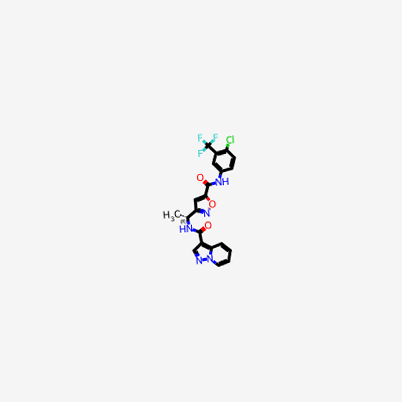 C[C@@H](NC(=O)c1cnn2ccccc12)c1cc(C(=O)Nc2ccc(Cl)c(C(F)(F)F)c2)on1